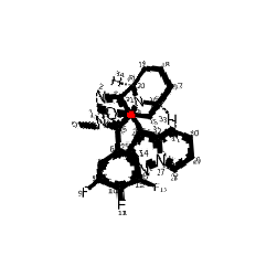 Cn1nc2c(c1-c1cc(F)c(F)c(F)c1)C[C@@H]1CCC[C@H]2N1C(=O)c1cnn2ccccc12